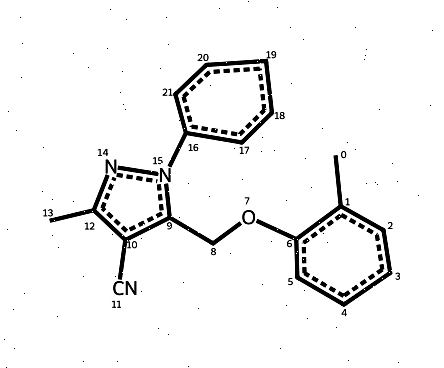 Cc1ccccc1OCc1c(C#N)c(C)nn1-c1ccccc1